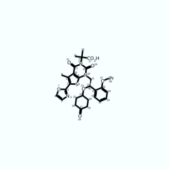 Cc1c(-c2ncco2)sc2c1c(=O)n(C(C)(C)C(=O)O)c(=O)n2C[C@H](OC1CCC(=O)CC1)c1ccccc1OC(C)C